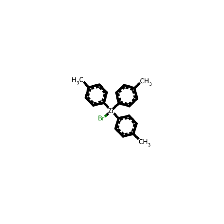 Cc1cc[c]([Zr]([Br])([c]2ccc(C)cc2)[c]2ccc(C)cc2)cc1